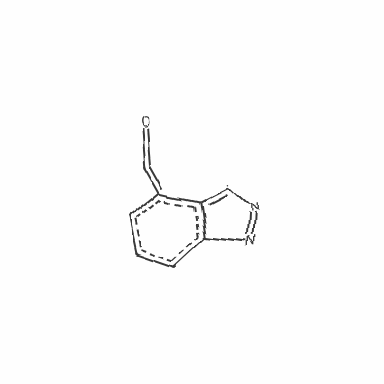 O=C=c1cccc2c1=[C]N=N2